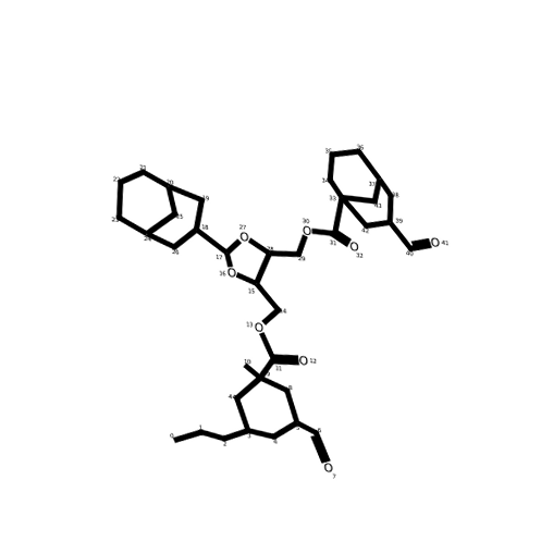 CCCC1CC(C=O)CC(C)(C(=O)OCC2OC(C3CC4CCCC(C4)C3)OC2COC(=O)C23CCCC(CC(C=O)C2)C3)C1